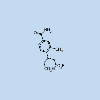 CCOC(=O)CN(CC(=O)OCC)c1ccc(C(N)=O)cc1C